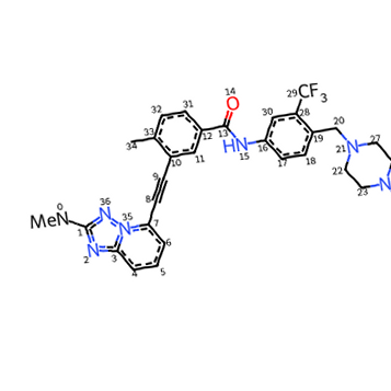 CNc1nc2cccc(C#Cc3cc(C(=O)Nc4ccc(CN5CCN(C)CC5)c(C(F)(F)F)c4)ccc3C)n2n1